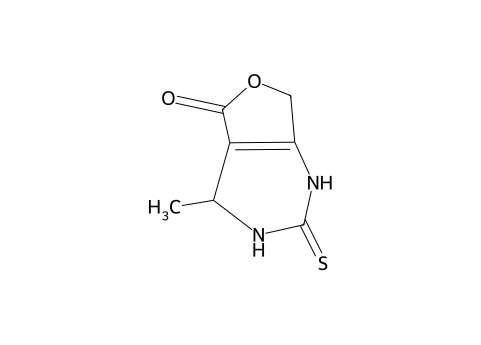 CC1NC(=S)NC2=C1C(=O)OC2